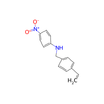 C=Cc1ccc(CNc2ccc([N+](=O)[O-])cc2)cc1